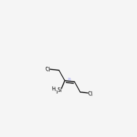 [SiH3]/C(=C\CCl)CCl